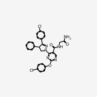 NC(=O)CNC(=O)c1cnc(Oc2ccc(Cl)cc2)nc1N1CC(c2ccccc2)C(c2ccc(Cl)cc2)=N1